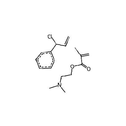 C=C(C)C(=O)OCCN(C)C.C=CC(Cl)c1ccccc1